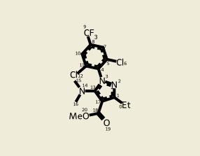 CCc1nn(-c2c(Cl)cc(C(F)(F)F)cc2Cl)c(N(C)C)c1C(=O)OC